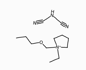 CCCOC[N+]1(CC)CCCC1.N#CNC#N